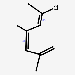 C=C(C)/C=C(C)\C=C(/C)Cl